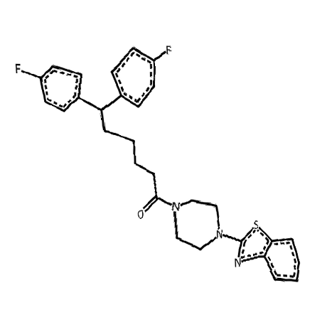 O=C(CCCCC(c1ccc(F)cc1)c1ccc(F)cc1)N1CCN(c2nc3ccccc3s2)CC1